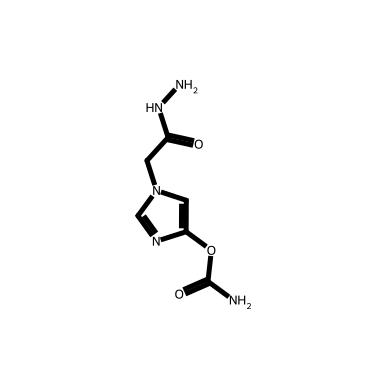 NNC(=O)Cn1cnc(OC(N)=O)c1